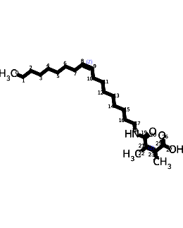 CCCCCCCC/C=C\CCCCCCCCNC(=O)/C(C)=C(/C)C(=O)O